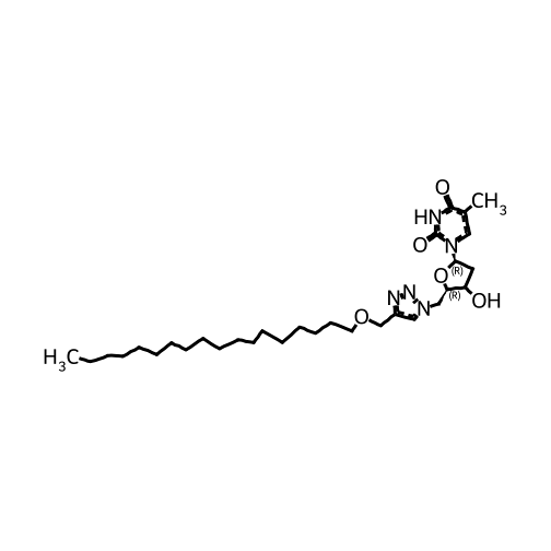 CCCCCCCCCCCCCCCCCCOCc1cn(C[C@H]2O[C@@H](n3cc(C)c(=O)[nH]c3=O)CC2O)nn1